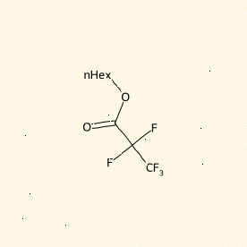 CCCCCCOC(=O)C(F)(F)C(F)(F)F